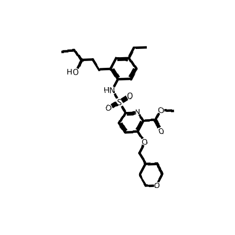 CCc1ccc(NS(=O)(=O)c2ccc(OCC3CCOCC3)c(C(=O)OC)n2)c(CCC(O)CC)c1